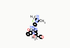 C=C(c1cc2cnc(Nc3ccc(N4C[C@@H](C)N[C@@H](C)C4)c(F)c3)nc2n(C2Cc3ccccc3C(=O)C2(C)C)c1=O)C1CCOCC1